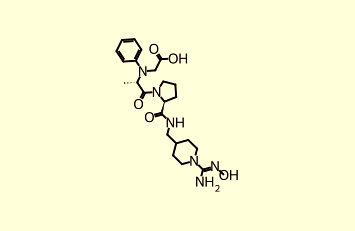 C[C@@H](C(=O)N1CCC[C@H]1C(=O)NCC1CCN(C(N)=NO)CC1)N(CC(=O)O)c1ccccc1